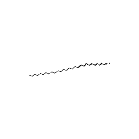 [CH]=CC=CC=CC=CC=CC=CCCCCCCCCCCCCCCCCC